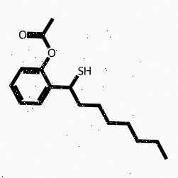 CCCCCCCC(S)c1ccccc1OC(C)=O